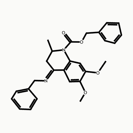 COc1cc2c(cc1OC)N(C(=O)OCc1ccccc1)C(C)C/C2=N\Cc1ccccc1